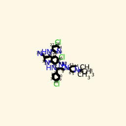 CC(C)(C)N1CCC(n2cc([C@@H](Nc3cc(Cl)cc4c(Nc5cncc(Cl)c5)c(C#N)cnc34)c3ccc(Cl)cc3)nn2)CC1